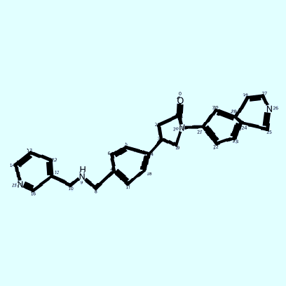 O=C1CC(c2ccc(CNCc3cccnc3)cc2)CN1c1ccc2cnccc2c1